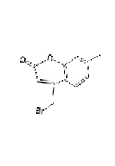 Cc1ccc2c(CBr)cc(=O)oc2c1